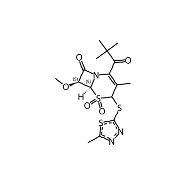 CO[C@H]1C(=O)N2C(C(=O)C(C)(C)C)=C(C)C(Sc3nnc(C)s3)S(=O)(=O)[C@@H]12